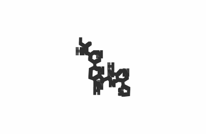 C=C(CC)Nc1cncc(-c2ccc3[nH]nc(-c4nc5c(-c6cccs6)cncc5[nH]4)c3n2)c1